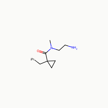 CC(C)CC1(C(=O)N(C)CCN)CC1